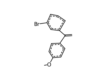 C=C(c1ccc(OC)cc1)c1cccc(Br)c1